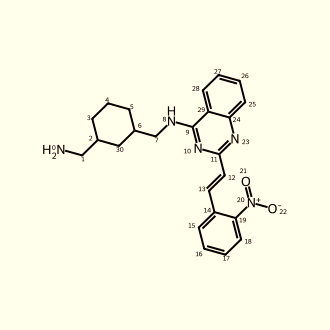 NCC1CCCC(CNc2nc(C=Cc3ccccc3[N+](=O)[O-])nc3ccccc23)C1